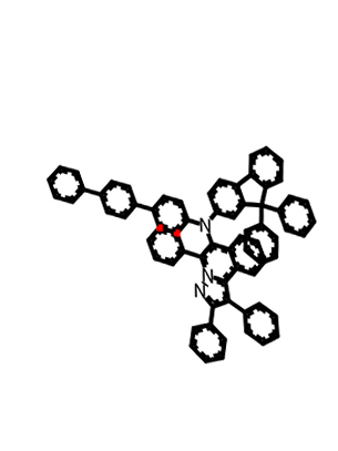 c1ccc(-c2ccc(-c3ccc(N(c4ccc5c(c4)C(c4ccccc4)(c4ccccc4)c4ccccc4-5)c4c(-c5ccccc5)n5nc(-c6ccccc6)c(-c6ccccc6)c5c5ccccc45)cc3)cc2)cc1